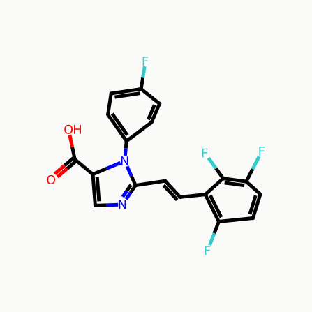 O=C(O)c1cnc(C=Cc2c(F)ccc(F)c2F)n1-c1ccc(F)cc1